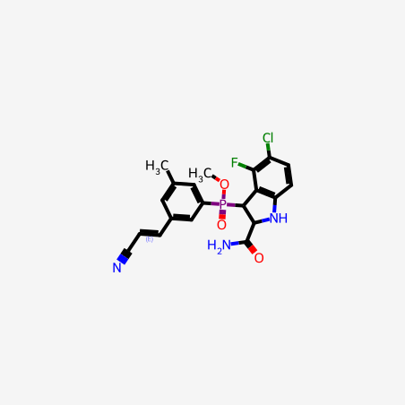 COP(=O)(c1cc(C)cc(/C=C/C#N)c1)C1c2c(ccc(Cl)c2F)NC1C(N)=O